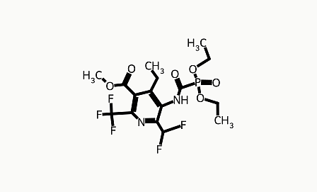 CCOP(=O)(OCC)C(=O)Nc1c(C(F)F)nc(C(F)(F)F)c(C(=O)OC)c1CC